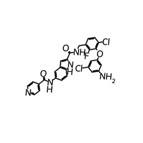 Nc1cc(Cl)cc(Oc2c(Cl)ccc(CNC(=O)c3cc4cc(NC(=O)c5ccncc5)ccc4[nH]3)c2F)c1